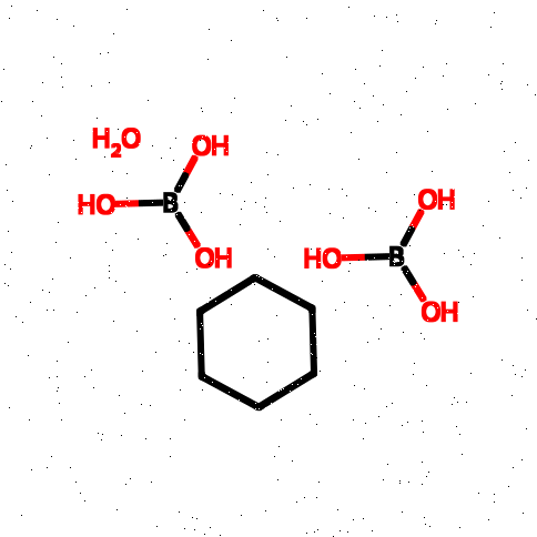 C1CCCCC1.O.OB(O)O.OB(O)O